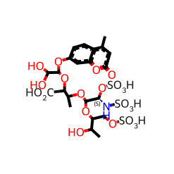 Cc1cc(=O)oc2cc(OC(OC(C(=O)O)C(C)OC(OC(COS(=O)(=O)O)C(C)O)[C@@H](NS(=O)(=O)O)OS(=O)(=O)O)C(O)O)ccc12